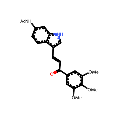 COc1cc(C(=O)C=Cc2c[nH]c3cc(NC(C)=O)ccc23)cc(OC)c1OC